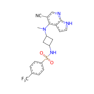 CN(c1c(C#N)cnc2[nH]ccc12)C1CC(NS(=O)(=O)c2ccc(C(F)(F)F)cc2)C1